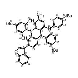 Cc1cc2c3c(c1)N(c1c(C)cc(C(C)(C)C)cc1C)c1cc(-c4coc5ccccc45)ccc1B3c1cc(C(C)(C)C)ccc1N2c1ccc(C(C)(C)C)cc1